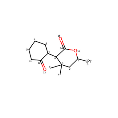 CC(C)C1CC(C)(C)C(C2CCCCC2=O)C(=O)O1